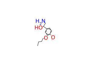 CCCCOc1cc(C(O)CN)ccc1OC